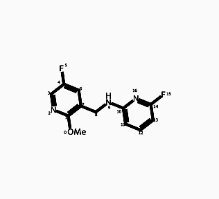 COc1ncc(F)cc1CNc1cccc(F)n1